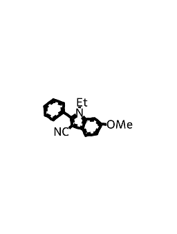 CCn1c(-c2ccccc2)c(C#N)c2ccc(OC)cc21